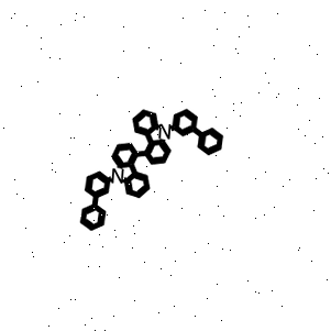 c1ccc(-c2cccc(-n3c4ccccc4c4c(-c5cccc6c5c5ccccc5n6-c5cccc(-c6ccccc6)c5)cccc43)c2)cc1